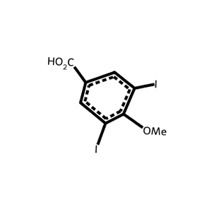 COc1c(I)cc(C(=O)O)cc1I